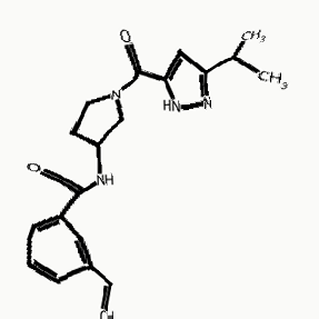 C=Cc1cccc(C(=O)NC2CCN(C(=O)c3cc(C(C)C)n[nH]3)C2)c1